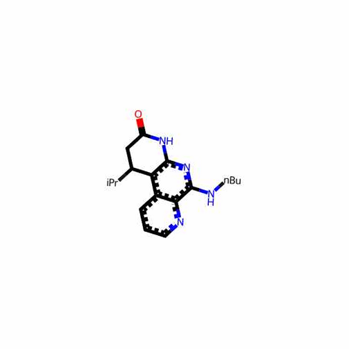 CCCCNc1nc2c(c3cccnc13)C(C(C)C)CC(=O)N2